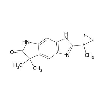 CC1(c2nc3cc4c(cc3[nH]2)NC(=O)C4(C)C)CC1